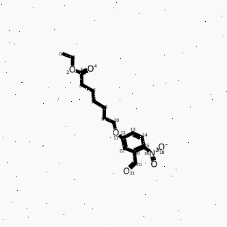 CCOC(=O)CCCCCCOc1ccc([N+](=O)[O-])c(C=O)c1